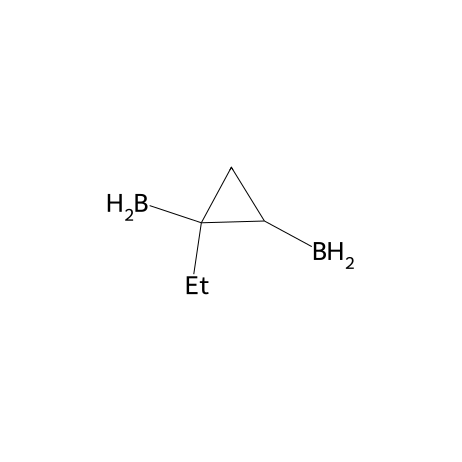 BC1CC1(B)CC